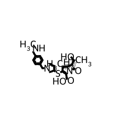 CNCc1ccc(CN2CCC(SC3=C(C(=O)O)N4C(=O)[C@H]([C@@H](C)O)[C@H]4[C@H]3C)C2)cc1